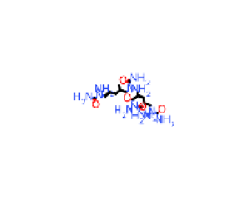 CC(CCCN(N)C(N)=O)C(OC(C(C)CCCN(N)C(N)=O)N(N)C(N)=O)N(N)C(N)=O